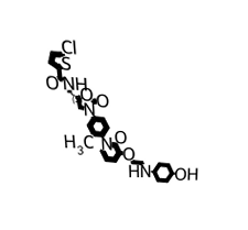 Cc1cc(N2C[C@H](CNC(=O)c3ccc(Cl)s3)OC2=O)ccc1-n1cccc(OCCN[C@H]2CC[C@H](O)CC2)c1=O